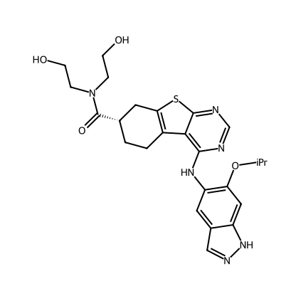 CC(C)Oc1cc2[nH]ncc2cc1Nc1ncnc2sc3c(c12)CC[C@H](C(=O)N(CCO)CCO)C3